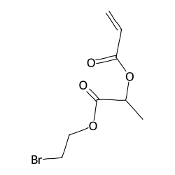 C=CC(=O)OC(C)C(=O)OCCBr